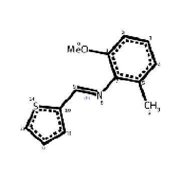 COc1cccc(C)c1/N=C/c1cccs1